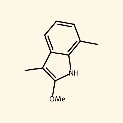 COc1[nH]c2c(C)cccc2c1C